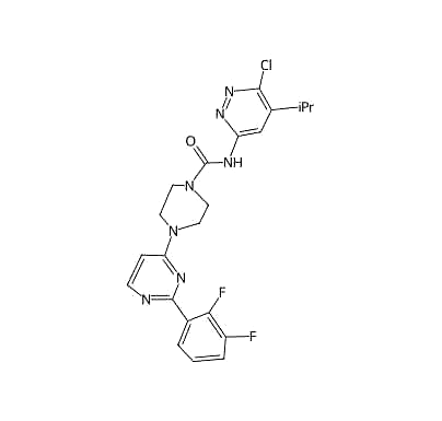 CC(C)c1cc(NC(=O)N2CCN(c3ccnc(-c4cccc(F)c4F)n3)CC2)nnc1Cl